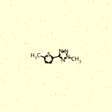 Cc1ccc(-c2nnn(C)n2)s1